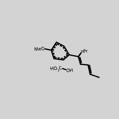 C/C=C/C=C(\CCC)c1ccc(OC)cc1.O=C(O)O